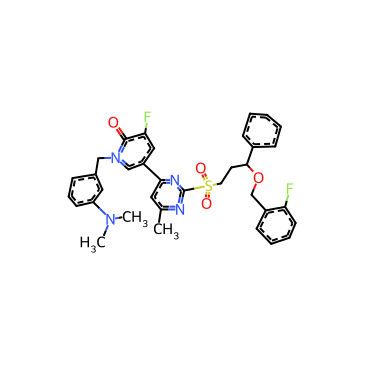 Cc1cc(-c2cc(F)c(=O)n(Cc3cccc(N(C)C)c3)c2)nc(S(=O)(=O)CCC(OCc2ccccc2F)c2ccccc2)n1